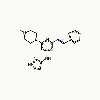 CN1CCN(c2cc(Nc3cc[nH]n3)nc(/C=C/c3ccccc3)n2)CC1